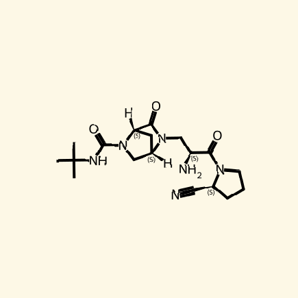 CC(C)(C)NC(=O)N1C[C@@H]2C[C@H]1C(=O)N2C[C@H](N)C(=O)N1CCC[C@H]1C#N